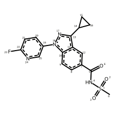 CS(=O)(=O)NC(=O)c1ccc2c(c1)c(C1CC1)nn2-c1ccc(F)nc1